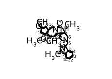 CCN1C(=O)N2Cc3cc(OC)cc(OC)c3[C@@H](C)C=C2C12CCN(Cc1nn(C)c3ccccc13)CC2